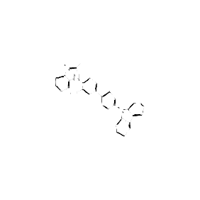 Cc1nc2cccc3c2n1-c1ccc(-c2ccc(-n4c5ccccc5c5ccccc54)cc2)cc1O3